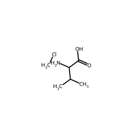 CC(C)C(N)C(=O)O.CCl